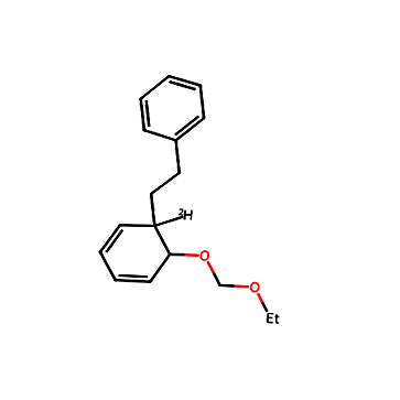 [2H]C1(CCc2ccccc2)C=CC=CC1OCOCC